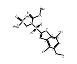 COP(=O)(CN(C(=O)OC(C)(C)C)S(=O)(=O)c1cc2c(Cl)c(CBr)cc(Cl)c2s1)OC